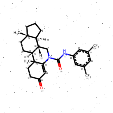 C[C@@]12CCC[C@H]1[C@@H]1CN(C(=O)Nc3cc(C(F)(F)F)cc(C(F)(F)F)c3)C3=CC(=O)CC[C@]3(C)[C@H]1CC2